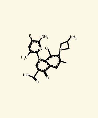 Cc1cc(F)c(N)nc1-n1cc(C(=O)O)c(=O)c2cc(F)c(N3CC(N)C3)c(Cl)c21